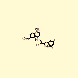 CC(=O)NC(Cc1cc(F)cc(F)c1)C(O)CNC1CCN(C)c2ccc(CC(C)(C)C)cc21